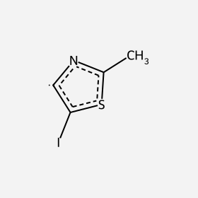 Cc1n[c]c(I)s1